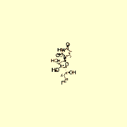 O=c1ccn(C2O[C@H](C(O)CCF)[C@@H](O)[C@@H]2O)c(=O)[nH]1